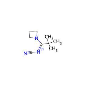 CC(C)(C)/C(=N/C#N)N1CCC1